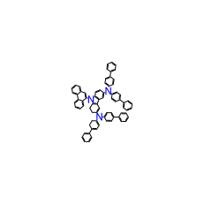 C1=C(c2ccccc2)CCC(N(C2=Cc3c(n(-c4cc5ccccc5c5ccccc45)c4ccc(N(c5ccc(-c6ccccc6)cc5)c5ccc(-c6ccccc6)cc5)cc34)CC2)c2ccc(-c3ccccc3)cc2)=C1